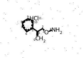 C=C(CON)c1ccccc1.Cl